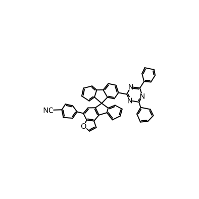 N#Cc1ccc(-c2cc3c(c4ccoc24)-c2ccccc2C32c3ccccc3-c3ccc(-c4nc(-c5ccccc5)nc(-c5ccccc5)n4)cc32)cc1